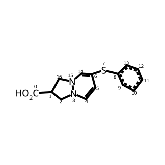 O=C(O)C1CN2C=CC(Sc3ccccc3)=CN2C1